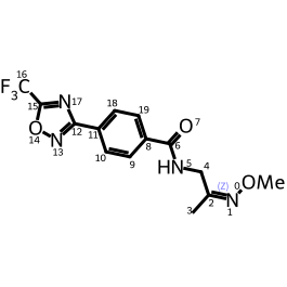 CO/N=C(/C)CNC(=O)c1ccc(-c2noc(C(F)(F)F)n2)cc1